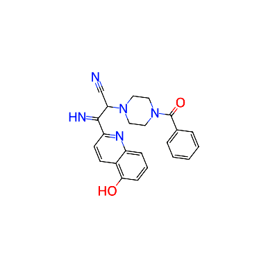 N#CC(C(=N)c1ccc2c(O)cccc2n1)N1CCN(C(=O)c2ccccc2)CC1